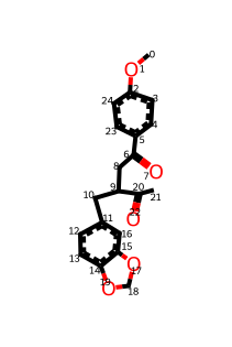 COc1ccc(C(=O)CC(Cc2ccc3c(c2)OCO3)C(C)=O)cc1